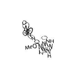 COc1cc(N2CCN(S(=O)(=O)N3CCOCC3)CC2)ccc1Nc1nc(NC2CCCCC2)c2nc[nH]c2n1